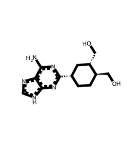 Nc1nc([C@H]2CC[C@H](CO)[C@@H](CO)C2)nc2[nH]cnc12